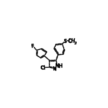 CSc1ccc(-c2[nH]nc(Cl)c2-c2ccc(F)cc2)cc1